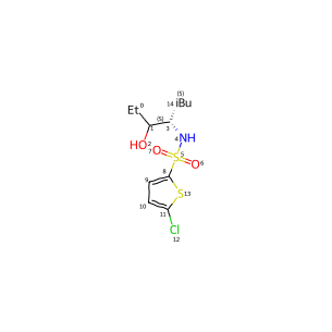 CCC(O)[C@@H](NS(=O)(=O)c1ccc(Cl)s1)[C@@H](C)CC